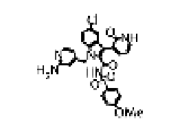 COc1ccc(S(=O)(=O)NC(=O)c2c(-c3ccc[nH]c3=O)c3cc(Cl)ccc3n2Cc2ccnc(N)c2)cc1